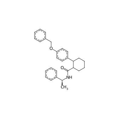 C[C@H](NC(=O)C1CCCCC1c1ccc(OCc2ccccc2)cc1)c1ccccc1